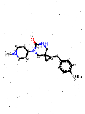 CC(C)COc1ccc(CC2CC23CNC(=O)N(C2CCN(C(C)C)CC2)C3)cc1